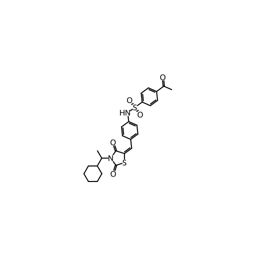 CC(=O)c1ccc(S(=O)(=O)Nc2ccc(C=C3SC(=O)N(C(C)C4CCCCC4)C3=O)cc2)cc1